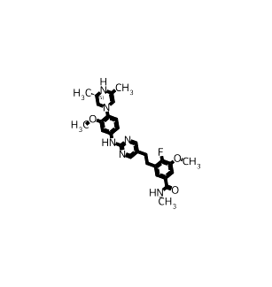 CNC(=O)c1cc(CCc2cnc(Nc3ccc(N4C=C(C)N[C@@H](C)C4)c(OC)c3)nc2)c(F)c(OC)c1